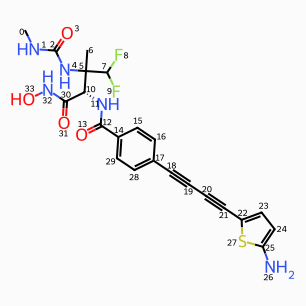 CNC(=O)NC(C)(C(F)F)[C@H](NC(=O)c1ccc(C#CC#Cc2ccc(N)s2)cc1)C(=O)NO